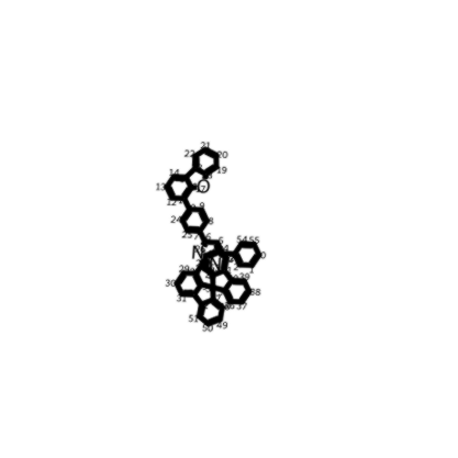 c1ccc(-c2cc(-c3ccc(-c4cccc5c4oc4ccccc45)cc3)nc(-c3cccc4c3C3(c5ccccc5-c5ccccc53)c3ccccc3-4)n2)cc1